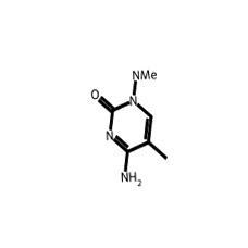 CNn1cc(C)c(N)nc1=O